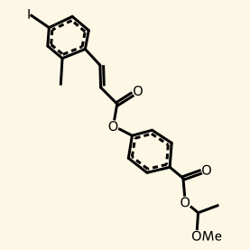 COC(C)OC(=O)c1ccc(OC(=O)/C=C/c2ccc(I)cc2C)cc1